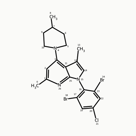 Cc1cc(N2CCC(C)CC2)c2c(C)cn(-c3c(Br)cc(Cl)cc3Br)c2n1